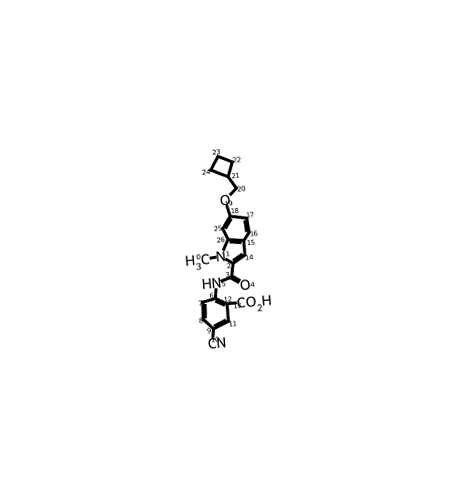 Cn1c(C(=O)Nc2ccc(C#N)cc2C(=O)O)cc2ccc(OCC3CCC3)cc21